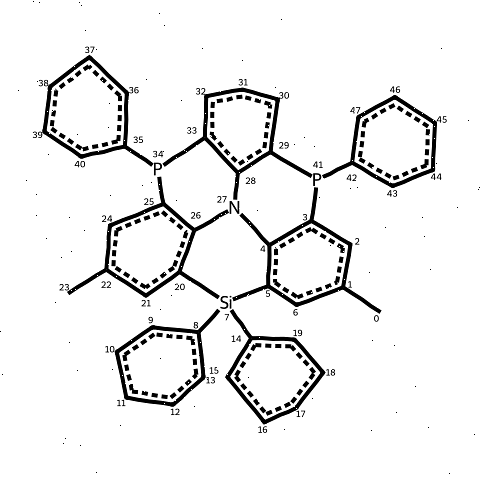 Cc1cc2c3c(c1)[Si](c1ccccc1)(c1ccccc1)c1cc(C)cc4c1N3c1c(cccc1P4c1ccccc1)P2c1ccccc1